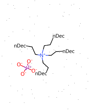 CCCCCCCCCCCC[N+](CCCCCCCCCCCC)(CCCCCCCCCCCC)CCCCCCCCCCCC.[O-][I+3]([O-])([O-])[O-]